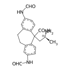 C[C@H](N)CC1(C(=O)O)c2ccc(NC=O)cc2CCc2cc(NC=O)ccc21